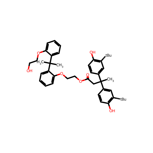 CC(C)(C)c1cc(C(C)(CC(=O)OCCOc2ccccc2C(C)(C)c2ccccc2OCCO)c2ccc(O)c(C(C)(C)C)c2)ccc1O